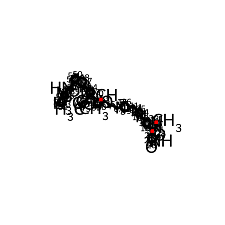 Cc1c(OCCCN2CCC(CN3CCN(c4ccc5c(C6CCC(=O)NC6=O)nn(C)c5c4)CC3)CC2)cccc1-c1ccc(N2CCc3cccc(C(=O)Nc4nc5ccccc5s4)c3C2)nc1C(=O)OC(C)(C)C